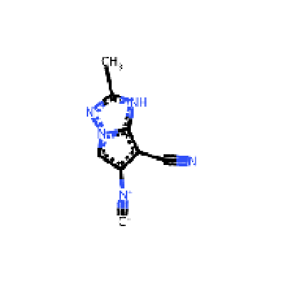 [C-]#[N+]c1cn2nc(C)[nH]c2c1C#N